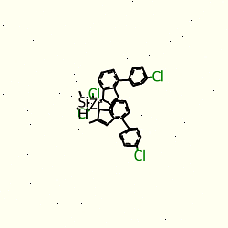 CC1=Cc2c(-c3ccc(Cl)cc3)cccc2[CH]1[Zr]([Cl])([Cl])([CH]1C(C)=Cc2c(-c3ccc(Cl)cc3)cccc21)[SiH](C)C